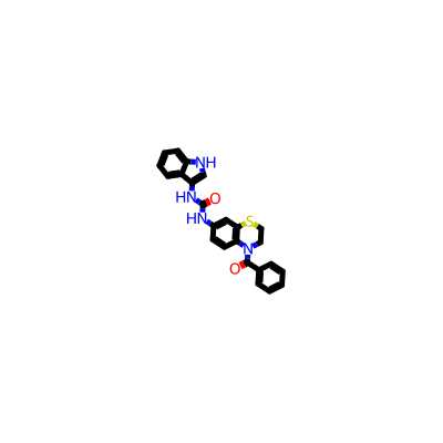 O=C(Nc1ccc2c(c1)SCCN2C(=O)c1ccccc1)Nc1c[nH]c2ccccc12